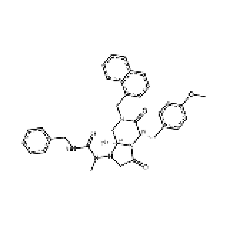 COc1ccc(C[C@H]2C(=O)N(Cc3cccc4ccccc34)C[C@H]3N2C(=O)CN3N(C)C(=O)NCc2ccccc2)cc1